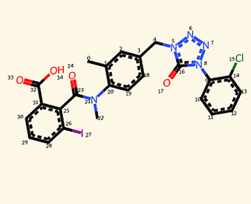 Cc1cc(Cn2nnn(-c3ccccc3Cl)c2=O)ccc1N(C)C(=O)c1c(I)cccc1C(=O)O